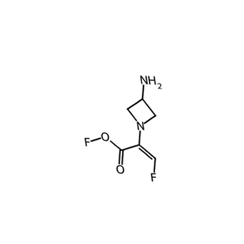 NC1CN(C(=CF)C(=O)OF)C1